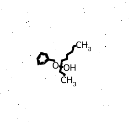 CCCCCCC(O)(CCC)OCc1ccccc1